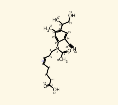 CC(=O)N(CC/C=C\CCCC(=O)O)c1cc(C)c(C(O)CO)cc1C#N